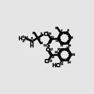 CC(C)(C)NN.Cc1ccccc1C(=S)Cl.Cl.O=C(Cl)c1ccccc1